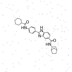 O=C(NC1CC2CCC1C2)c1ccc2[nH]c(-c3ccc(NC(=O)C4CCCCC4)cc3)nc2c1